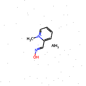 C[n+]1ccccc1C=NO.[AlH3]